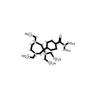 CCCCCCCCN(CCCCCCCC)C(=O)C1CCC(C2(N(CC(=O)O)CC(=O)O)CN(CC(=O)O)CCN(CC(=O)O)C2)CC1